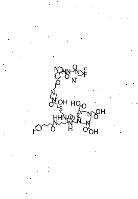 N#C[C@H]1CC(F)(F)CN1C(=O)CNC(=O)c1ccnc2ccc(OCCCN3CCN(C(=O)[C@H](O)CSCCNC(=O)C(CCCNC(=O)CCCc4ccc(I)cc4)NC(=O)CN4CCN(CC(=O)O)CCN(CC(=O)O)CCN(CC(=O)O)CC4)CC3)cc12